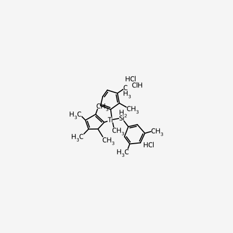 CC1=C(C)C(C)[C]([Ti]([CH3])([SiH2]c2cc(C)cc(C)c2)[c]2cccc(C)c2C)=C1C.Cl.Cl.Cl